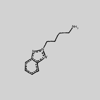 NCCCCn1nc2ccccc2n1